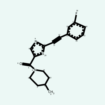 CC1CCN(C(=O)c2cnc(C#Cc3cccc(F)c3)s2)CC1